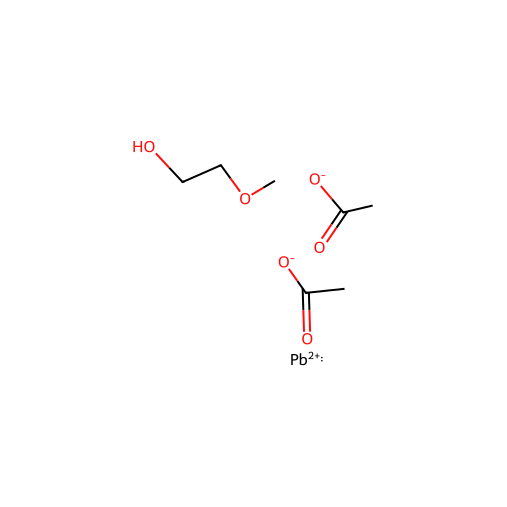 CC(=O)[O-].CC(=O)[O-].COCCO.[Pb+2]